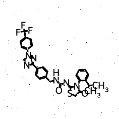 CC(C)c1ccccc1N1C(=O)CSC1=NC(=O)NCc1ccc(-c2ncn(-c3ccc(C(F)(F)F)cc3)n2)cc1